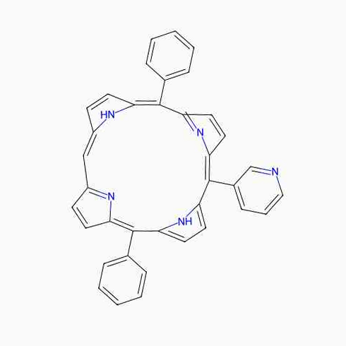 C1=Cc2nc1cc1ccc([nH]1)c(-c1ccccc1)c1nc(c(-c3cccnc3)c3ccc([nH]3)c2-c2ccccc2)C=C1